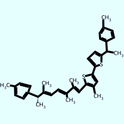 CC(=C\C=C(/C)[C@H](C)c1ccc(C)cc1)/C(C)=C/c1sc(-c2ccc(C(C)c3ccc(C)cc3)s2)cc1C